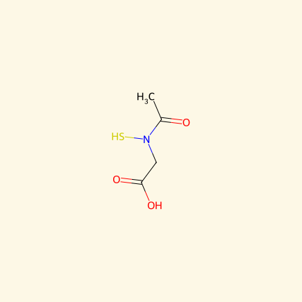 CC(=O)N(S)CC(=O)O